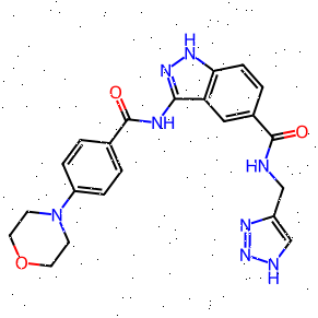 O=C(NCc1c[nH]nn1)c1ccc2[nH]nc(NC(=O)c3ccc(N4CCOCC4)cc3)c2c1